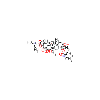 C/C=C(\C)C(=O)OC[C@]1(C)C2CC[C@]3(C)C(CC=C4C5CC(C)(C)[C@@H](OC(=O)/C(C)=C/C)[C@H](O)[C@]5(CO)[C@H](O)C[C@]43CC)[C@@]2(C)CC[C@@H]1O